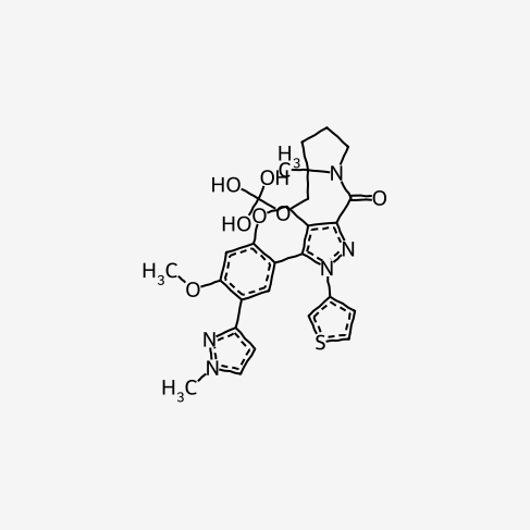 COc1cc2c(cc1-c1ccn(C)n1)-c1c(c(C(=O)N3CCCC3(C)COC(O)(O)O)nn1-c1ccsc1)CO2